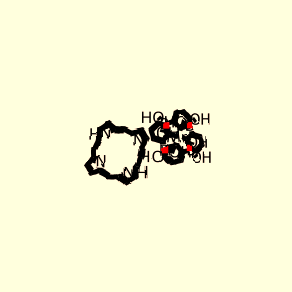 C1=Cc2cc3ccc(cc4nc(cc5ccc(cc1n2)[nH]5)C=C4)[nH]3.OB(O)c1cccc[c]1[Mn]([c]1ccccc1B(O)O)([c]1ccccc1B(O)O)[c]1ccccc1B(O)O